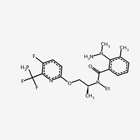 CCN(C(=O)c1cccc(C)c1N(C)N)[C@@H](C)COc1ccc(F)c(C(F)(F)P)n1